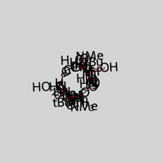 CN[C@@H](C)C(=O)N[C@H](C(=O)N1C[C@@H]2C[C@H]1C(=O)N[C@@H](Cc1ccc3ccccc3c1)C(=O)N[C@H](C(=O)O)Cc1ccc(cc1)OC/C=C/CO[C@H]1C[C@@H](C(=O)N[C@@H](Cc3cccc(-c4ccc(CO)cc4)c3)C(=O)N[C@H](C(=O)NS(=O)(=O)C3CC3)Cc3ccc(cc3)OCc3cn2nn3)N(C(=O)[C@@H](NC(=O)[C@H](C)NC)C(C)(C)C)C1)C(C)(C)C